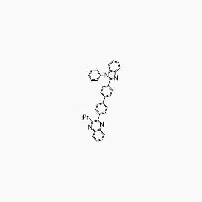 CC(C)c1nc2ccccc2nc1-c1ccc(-c2ccc(-c3nc4ccccc4n3-c3ccccc3)cc2)cc1